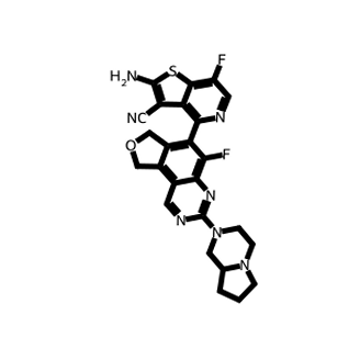 N#Cc1c(N)sc2c(F)cnc(-c3c4c(c5cnc(N6CCN7CCCC7C6)nc5c3F)COC4)c12